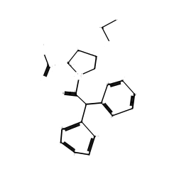 CCC[C@H]1C[C@@H](C(=O)O)N(C(=O)C(c2ccccc2)c2ccccc2)C1